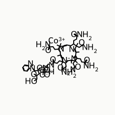 C/C1=C2N=C(/C=C3N=C(/C(C)=C4\[N-]C(C(CC(N)=O)C4(C)CCC(=O)NCC(C)OP(=O)([O-])OC4C(CO)OC(n5cnc6ccccc65)C4O)C4(C)N=C1C(CCC(N)=O)C4(C)CC(N)=O)C(CCC(N)=O)C\3(C)C)C(CCC(N)=O)C/2(C)CC(N)=O.[Co+3]